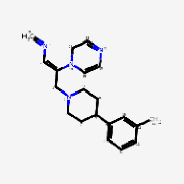 C=N/C=C(/CN1CCC(c2cccc(C)c2)CC1)N1C=CN=CC1